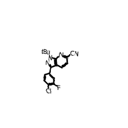 CC(C)(C)n1nc(-c2ccc(Cl)c(F)c2)c2ccc(C#N)nc21